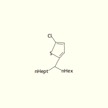 CCCCCCCC(CCCCCC)c1ccc(Cl)s1